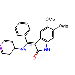 COc1cc2c(cc1OC)/C(=C(/NC1C=CI=CC1)c1ccccc1)C(=O)N2